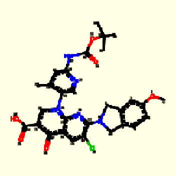 COc1ccc2c(c1)CN(c1nc3c(cc1Cl)c(=O)c(C(=O)O)cn3-c1cnc(NC(=O)OC(C)(C)C)cc1C)C2